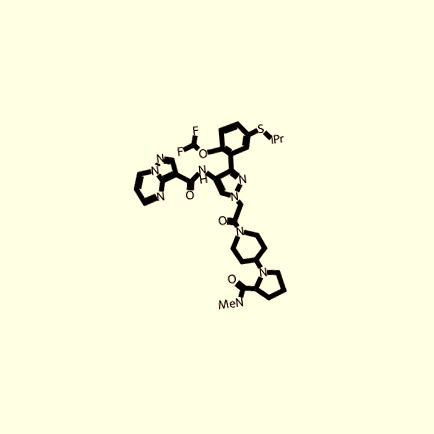 CNC(=O)C1CCCN1C1CCN(C(=O)Cn2cc(NC(=O)c3cnn4cccnc34)c(-c3cc(SC(C)C)ccc3OC(F)F)n2)CC1